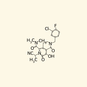 CC(C#N)n1c(C(=O)N(C)C)c2c(c(O)c1=O)C(=O)N(Cc1ccc(F)c(Cl)c1)CC2